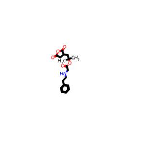 CC(C)(CC1CC(=O)OC1=O)OC(=O)CNCCc1ccccc1